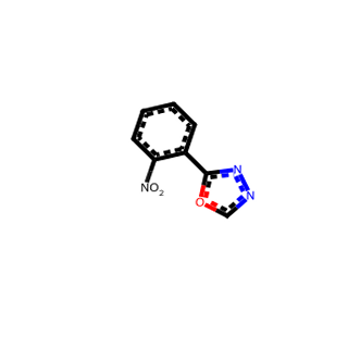 O=[N+]([O-])c1ccccc1-c1nn[c]o1